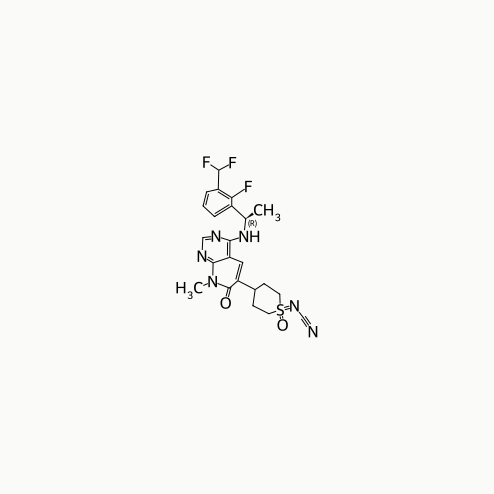 C[C@@H](Nc1ncnc2c1cc(C1CCS(=O)(=NC#N)CC1)c(=O)n2C)c1cccc(C(F)F)c1F